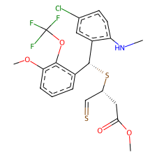 CNc1ccc(Cl)cc1[C@H](S[C@@H](C=S)CC(=O)OC)c1cccc(OC)c1OC(F)(F)F